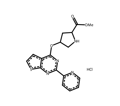 COC(=O)C1CC(Oc2nc(-c3ccccn3)nc3sccc23)CN1.Cl